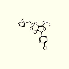 NC1=C(OS(=O)Cc2cccs2)C(=O)C(c2ccc(Cl)cc2)O1